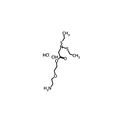 CCSN(CC(=O)OCCOCCN)SCC.Cl.Cl